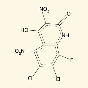 O=c1[nH]c2c(F)c(Cl)c(Cl)c([N+](=O)[O-])c2c(O)c1[N+](=O)[O-]